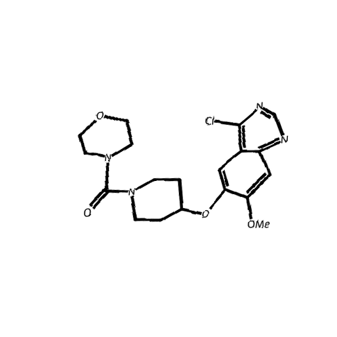 COc1cc2ncnc(Cl)c2cc1OC1CCN(C(=O)N2CCOCC2)CC1